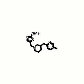 CNc1ncc(CN2CCCC(Cc3ccc(C)cn3)C2)s1